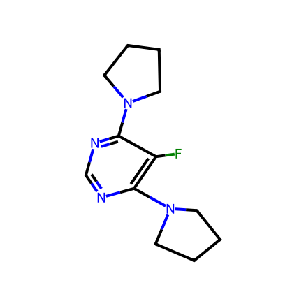 Fc1c(N2CCCC2)ncnc1N1CCCC1